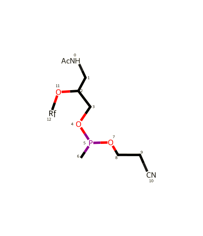 CC(=O)NCC(COP(C)OCCC#N)[O][Rf]